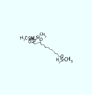 C[SiH2]OCCCCCCCCCC(CCO[SiH2]C)O[SiH2]C